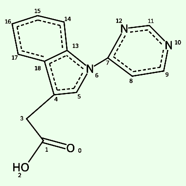 O=C(O)Cc1cn(-c2ccncn2)c2ccccc12